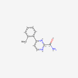 COc1ccccc1-c1c[c]nc(C(N)=O)n1